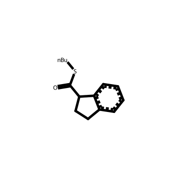 CCCCSC(=O)C1CCc2ccccc21